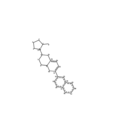 CC1CCCN1C1CCC2CC(c3ccc4ccccc4c3)=CC=C2C1